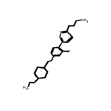 CCCCc1ccc(-c2ccc(CCC3CCC(CCC)CC3)cc2F)nn1